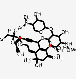 C#C/C=C\C#CC(OC1OC(C)C(NOC)C(O)C1OC1CC(O)C(N(CC)C(C)=O)CO1)C1=C(NC(=O)O)C(=O)CC(C)(O)/C1=C/CSSC(C)(C)CC(C)=O